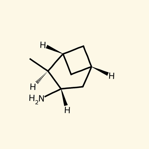 C[C@H]1[C@H]2C[C@@H](C[C@@H]1N)C2